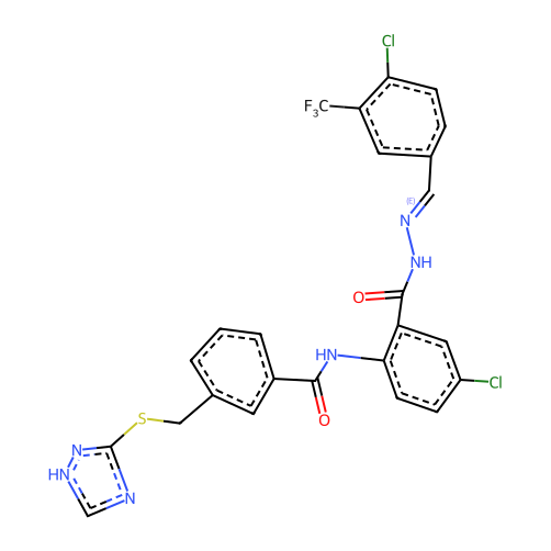 O=C(Nc1ccc(Cl)cc1C(=O)N/N=C/c1ccc(Cl)c(C(F)(F)F)c1)c1cccc(CSc2nc[nH]n2)c1